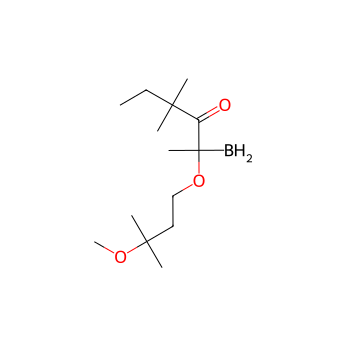 BC(C)(OCCC(C)(C)OC)C(=O)C(C)(C)CC